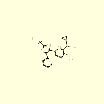 CC(C)(C)c1nc(-c2ccccc2)c(-c2ccc([N+](=O)[O-])c(C(N)C3CC3)n2)[nH]1